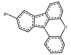 CC(C)c1ccc2c(c1)c1cccc3c1n2-c1ccccc1O3